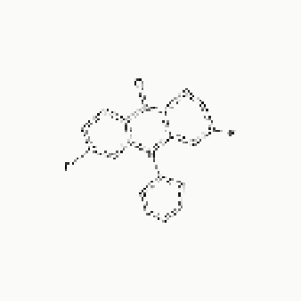 O=c1c2ccc(F)cc2n(-c2ccccc2)c2cc(F)ccc12